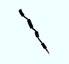 C#CC#CC#CC#CI